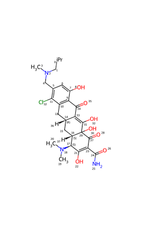 CC(C)CN(C)Cc1cc(O)c2c(c1Cl)C[C@H]1C[C@H]3[C@H](N(C)C)C(O)=C(C(N)=O)C(=O)C3(O)C(O)=C1C2=O